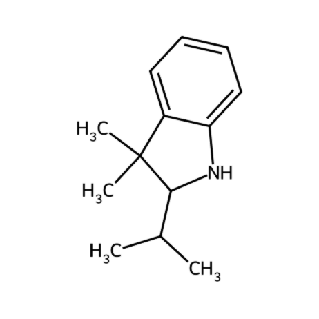 CC(C)C1Nc2ccccc2C1(C)C